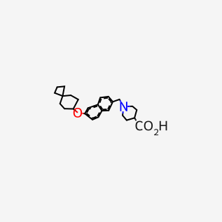 O=C(O)C1CCN(Cc2ccc3cc(OC4CCC5(CCC5)CC4)ccc3c2)CC1